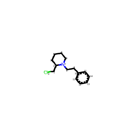 ClCC1CCCCN1CCc1ccccc1